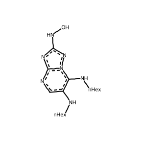 CCCCCCNc1cnc2nc(NO)nn2c1NCCCCCC